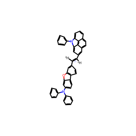 [2H]/C(=C(/[2H])c1cc2ccc3cccc4c3c2c(c1)n4-c1ccccc1)c1ccc2c(c1)oc1cc(N(c3ccccc3)c3ccccc3)ccc12